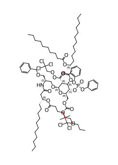 CCCCCCCCCCC[C@H](CC(=O)N[C@@H](COCc1ccccc1)CO[C@@H]1O[C@H](COC(=O)OC(C)(C)C(Cl)(Cl)Cl)[C@@H](OP(=O)(Oc2ccccc2)Oc2ccccc2)[C@H](OC(=O)C[C@@H](CCCCCCCCCCC)OC(=O)CCCCCCCCC)[C@H]1C(=O)OOCC(Cl)(Cl)Cl)OC(=O)CCCCCCCCC